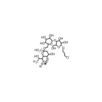 C[C@@H](O)C(N=[N+]=[N-])C1O[C@@](OCC2O[C@@H](O[C@@H]3C(CO)O[C@@H](OCCCCl)C(O)C3O)C(O)C(O)[C@H]2O)(C(=O)O)CC(O)C1N=[N+]=[N-]